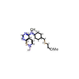 COCCSCC1CCC(N(C)c2ncnc3c2C=CN(I)S3)CC1